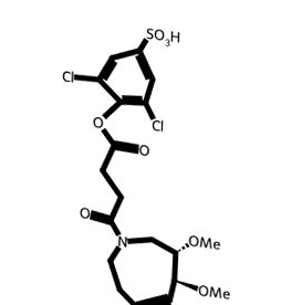 CO[C@H]1C#CCCN(C(=O)CCC(=O)Oc2c(Cl)cc(S(=O)(=O)O)cc2Cl)C[C@@H]1OC